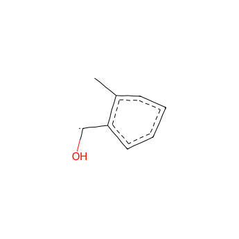 Cc1ccccc1[CH]O